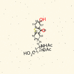 CC(=O)NC(CCC(=O)O)(CCc1ccc2sc3ccc(O)cc3c(=O)c2c1)COC(C)=O